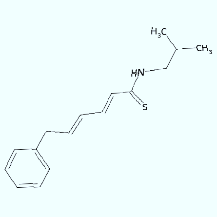 CC(C)CNC(=S)C=CC=CCc1ccccc1